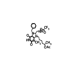 CC(=O)O[C@H](C)CCCCN1c2c(c(=O)[nH]c(=O)n2C)N(Cc2ccccc2)C1CNOC(=O)C(F)(F)F